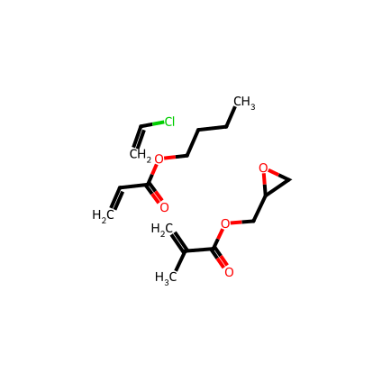 C=C(C)C(=O)OCC1CO1.C=CC(=O)OCCCC.C=CCl